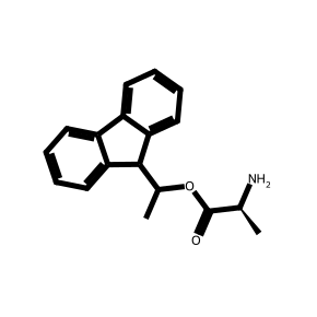 CC(OC(=O)[C@H](C)N)C1c2ccccc2-c2ccccc21